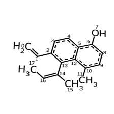 C=Cc1ccc2c(O)ccc(C)c2c1/C(C)=C\C